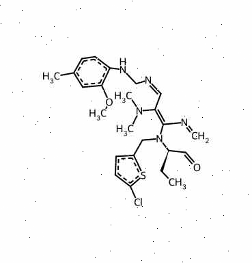 C=N/C(=C(\C=N/CNc1ccc(C)cc1OC)N(C)C)N(Cc1ccc(Cl)s1)[C@@H](C=O)CC